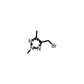 Cc1nn(C)nc1CBr